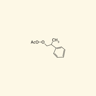 CC(=O)OOCC(C)c1ccccc1